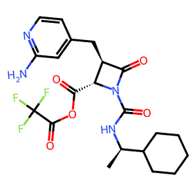 C[C@@H](NC(=O)N1C(=O)[C@H](Cc2ccnc(N)c2)[C@H]1C(=O)OC(=O)C(F)(F)F)C1CCCCC1